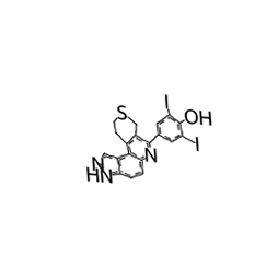 Oc1c(I)cc(-c2nc3ccc4[nH]ncc4c3c3c2CSCC3)cc1I